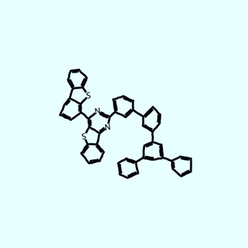 c1ccc(-c2cc(-c3ccccc3)cc(-c3cccc(-c4cccc(-c5nc(-c6cccc7c6sc6ccccc67)c6sc7ccccc7c6n5)c4)c3)c2)cc1